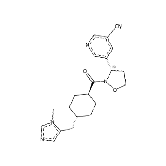 Cn1cncc1C[C@H]1CC[C@H](C(=O)N2OCC[C@H]2c2cncc(C#N)c2)CC1